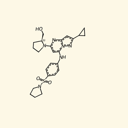 O=S(=O)(c1ccc(Nc2cc(N3CCC[C@H]3CO)nc3cc(C4CC4)nn23)cc1)N1CCCC1